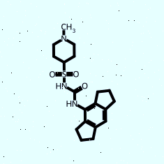 CN1CCC(S(=O)(=O)NC(=O)Nc2c3c(cc4c2CCC4)CCC3)CC1